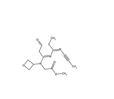 CC#C/N=C(\N=C(/CC=O)N(CC(=O)OC)C1COC1)SC